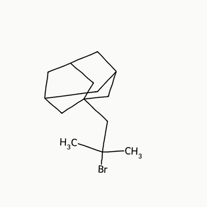 CC(C)(Br)CC12CC3CC(CC(C3)C1)C2